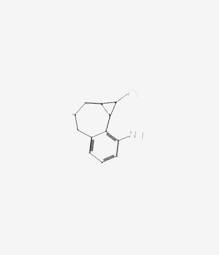 CC(C)C1C2CCCc3cccc(N)c3C21